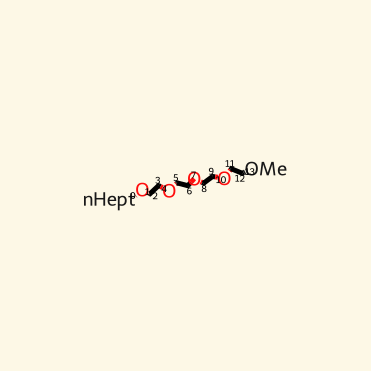 CCCCCCCOCCOCCOCCOCCOC